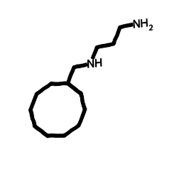 NCCCNCC1CCCCCCCCC1